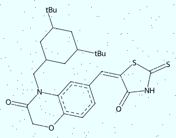 CC(C)(C)C1CC(CN2C(=O)COc3ccc(/C=C4/SC(=S)NC4=O)cc32)CC(C(C)(C)C)C1